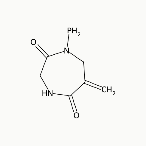 C=C1CN(P)C(=O)CNC1=O